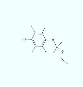 CCOC1(C)CCc2c(C)c(O)c(C)c(C)c2O1